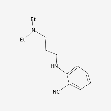 CCN(CC)CCCNc1ccccc1C#N